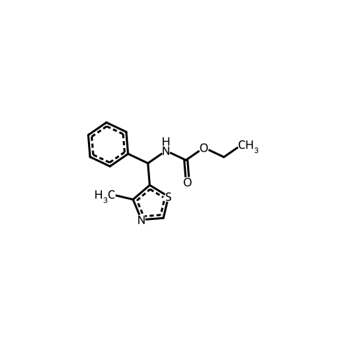 CCOC(=O)NC(c1ccccc1)c1scnc1C